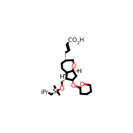 CC(C)C[Si](C)(C)OC[C@@H]1[C@H]2CC[C@H](CC=CC(=O)O)CO[C@H]2C[C@H]1OC1CCCCO1